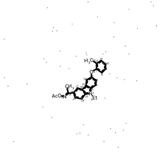 CCn1c2ccc(Oc3ccccc3C)cc2c2cc(C(C)=NOC(C)=O)ccc21